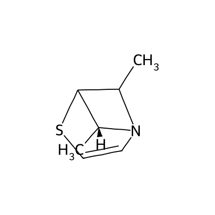 CC1C2SC=CN1[C@@H]2C